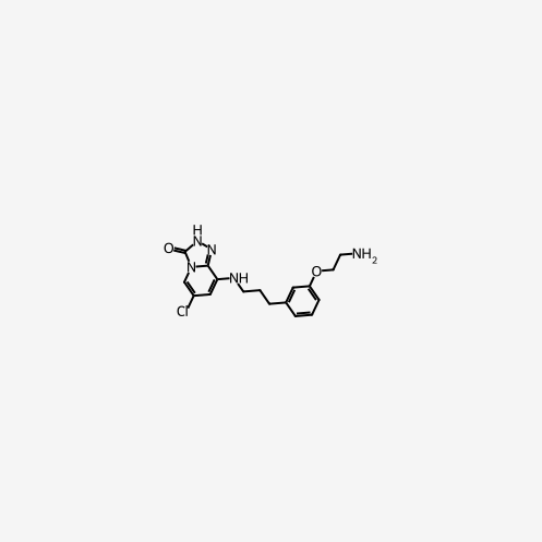 NCCOc1cccc(CCCNc2cc(Cl)cn3c(=O)[nH]nc23)c1